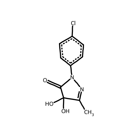 CC1=NN(c2ccc(Cl)cc2)C(=O)C1(O)O